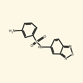 Nc1cccc(S(=O)(=O)Nc2ccc3nsnc3c2)c1